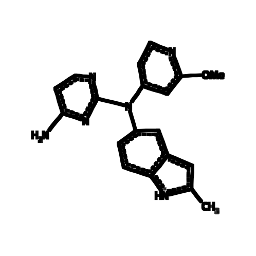 COc1cc(N(c2ccc3[nH]c(C)cc3c2)c2nccc(N)n2)ccn1